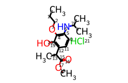 CCCOc1c(NC(C)C)ccc(C(C)C(=O)OC)c1O.Cl